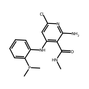 CNC(=O)c1c(Nc2ccccc2P(C)C)cc(Cl)nc1N